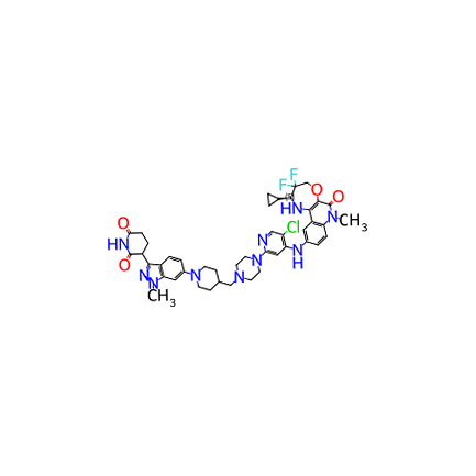 Cn1nc(C2CCC(=O)NC2=O)c2ccc(N3CCC(CN4CCN(c5cc(Nc6ccc7c(c6)c6c(c(=O)n7C)OCC(F)(F)[C@H](C7CC7)N6)c(Cl)cn5)CC4)CC3)cc21